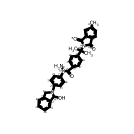 Cc1ccc2c(c1)C(=O)N(C(C)(C)c1ccc(C(=O)N(N)c3ccc(N4Cc5ccccc5C4O)cc3)cc1)C2=O